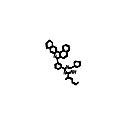 C/C=C\C=C(/C)C(=N)/N=C(\N=C\c1ccccc1)C1C=C(c2nc3cc4c(cc3c3c2ccc2ccccc23)CCC=C4)C=CC1